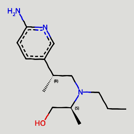 CCCN(C[C@H](C)c1ccc(N)nc1)[C@@H](C)CO